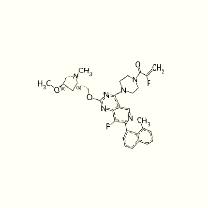 C=C(F)C(=O)N1CCN(c2nc(OC[C@@H]3C[C@@H](OC)CN3C)nc3c(F)c(-c4cccc5cccc(C)c45)ncc23)CC1